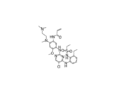 C=CC(=O)Nc1cc(Nc2ncc(Cl)c(Nc3cccc(CC)c3NS(=O)(=O)CC)n2)c(OC)cc1N(C)CCN(C)C